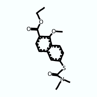 CCOC(=O)c1ccc2cc(SC(=O)N(C)C)ccc2c1OC